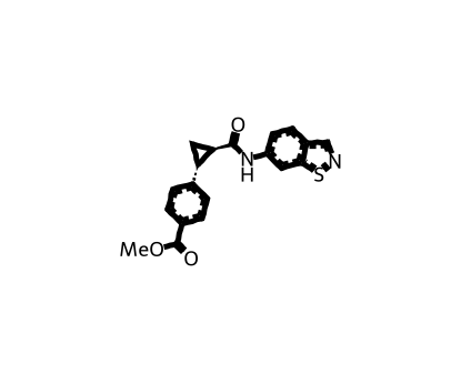 COC(=O)c1ccc([C@@H]2C[C@H]2C(=O)Nc2ccc3cnsc3c2)cc1